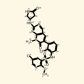 COc1ncc(Cl)cc1S(=O)(=O)Nc1cccc(-c2cc3cnc(N[C@@H]4CNC(=O)C4)nc3n(C)c2=O)c1F